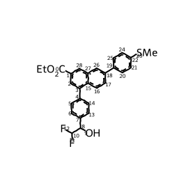 CCOC(=O)c1cc(-c2ccc(C(O)C(F)F)cc2)c2ccc(-c3ccc(SC)cc3)cc2c1